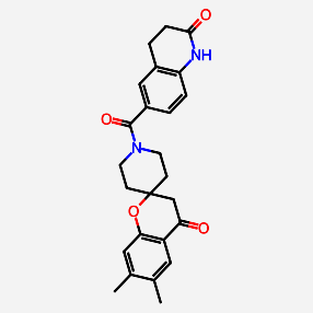 Cc1cc2c(cc1C)C(=O)CC1(CCN(C(=O)c3ccc4c(c3)CCC(=O)N4)CC1)O2